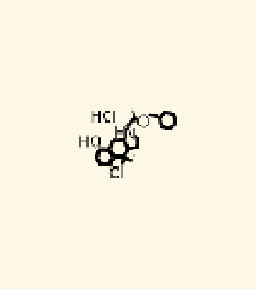 C[C@H](CN1CC[C@]2(C)[C@@H]1Cc1c(O)ccc(Cl)c1C2(C)C)OCc1ccccc1.Cl